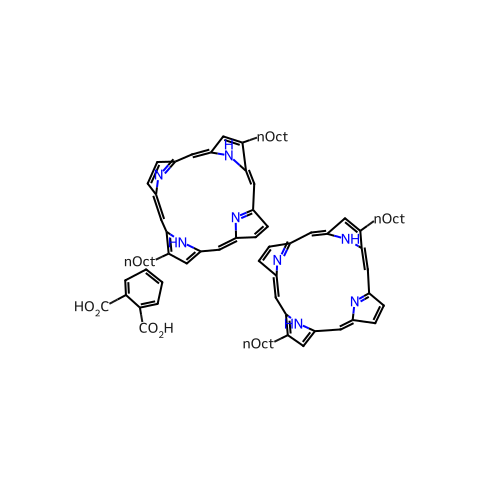 CCCCCCCCc1cc2cc3nc(cc4[nH]c(cc5nc(cc1[nH]2)C=C5)cc4CCCCCCCC)C=C3.CCCCCCCCc1cc2cc3nc(cc4[nH]c(cc5nc(cc1[nH]2)C=C5)cc4CCCCCCCC)C=C3.O=C(O)c1ccccc1C(=O)O